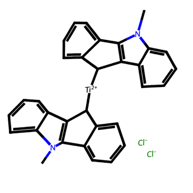 Cn1c2c(c3ccccc31)[CH]([Ti+2][CH]1c3ccccc3-c3c1c1ccccc1n3C)c1ccccc1-2.[Cl-].[Cl-]